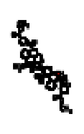 CCOC(=O)C1CCN(C(=O)/C=C/c2ccc(Sc3ccc(/C=C/C(=O)N4CCC(C(=O)OCC)C4)c(-c4ccccc4C(C)C)c3[N+](=O)[O-])c([N+](=O)[O-])c2-c2ccccc2C(C)C)C1